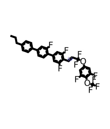 CCCc1ccc(-c2ccc(-c3cc(F)c(/C=C/C(F)(F)Oc4cc(F)c(OC(F)(F)F)c(F)c4)c(F)c3)c(F)c2)cc1